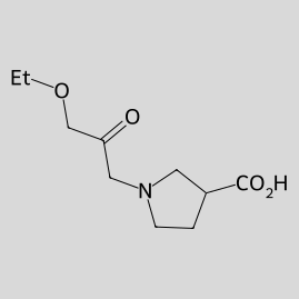 CCOCC(=O)CN1CCC(C(=O)O)C1